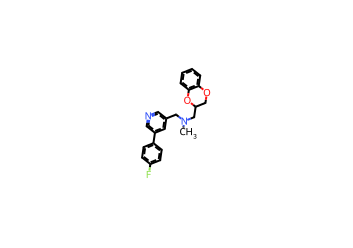 CN(Cc1cncc(-c2ccc(F)cc2)c1)CC1COc2ccccc2O1